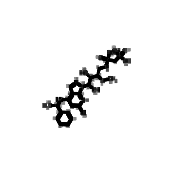 CO[C@H](COP(=O)(O)CP(=O)(O)O)[C@@H](O)[C@@H](O)n1ncc2c(N[C@H](C)c3ccccc3)cc(Cl)nc21